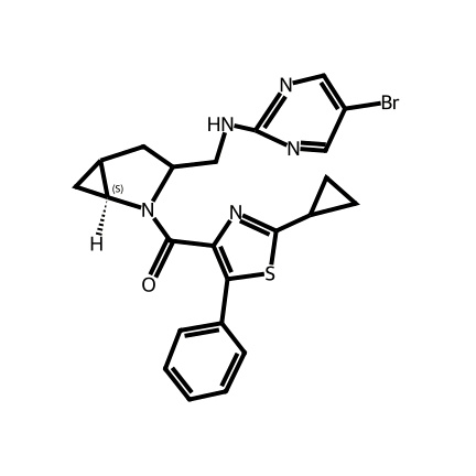 O=C(c1nc(C2CC2)sc1-c1ccccc1)N1C(CNc2ncc(Br)cn2)CC2C[C@@H]21